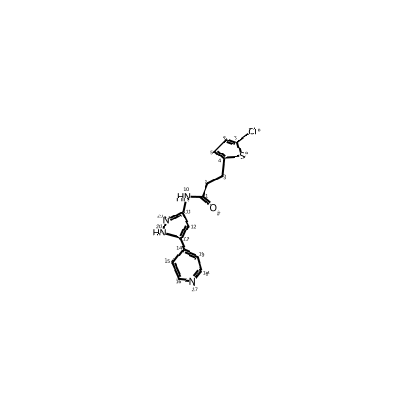 O=C(CCc1ccc(Cl)s1)Nc1cc(-c2ccncc2)[nH]n1